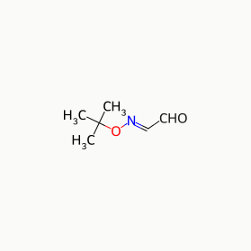 CC(C)(C)ON=CC=O